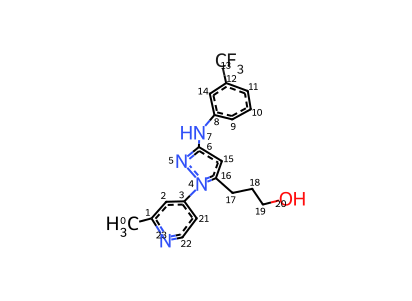 Cc1cc(-n2nc(Nc3cccc(C(F)(F)F)c3)cc2CCCO)ccn1